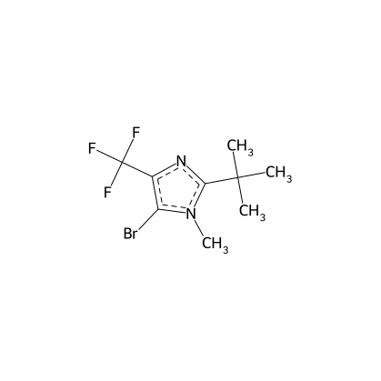 Cn1c(C(C)(C)C)nc(C(F)(F)F)c1Br